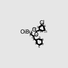 CC(C)COCC(Cc1ccccc1)OC(=O)c1cccc(Cl)c1